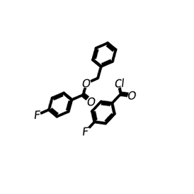 O=C(Cl)c1ccc(F)cc1.O=C(OCc1ccccc1)c1ccc(F)cc1